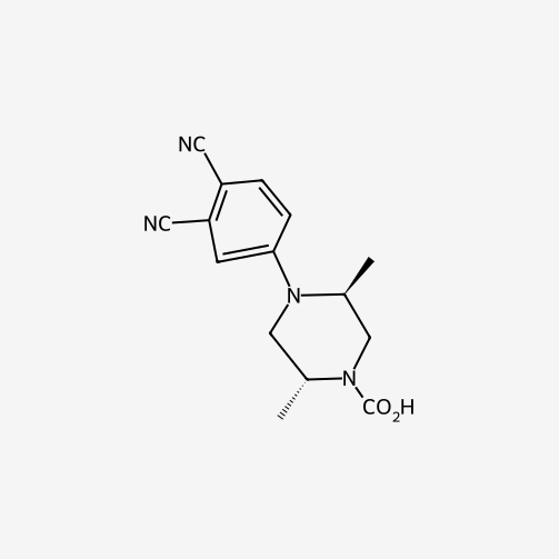 C[C@@H]1CN(c2ccc(C#N)c(C#N)c2)[C@@H](C)CN1C(=O)O